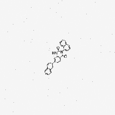 O=c1[nH]c2cc(-c3ccc4ccccc4c3)ccc2c(=O)n1-c1cccc2ccccc12